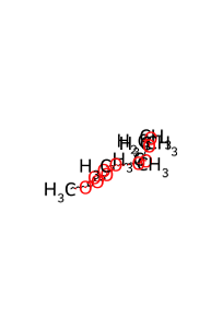 C=C(C)C(=O)C(C)(C)OCCCCCC(=O)C(C)(C)OCCCCCCCCOC1=CC=C(C(=O)Oc2ccc(OC(=O)c3ccc(OCCCCCC)cc3)cc2)C(C)C1